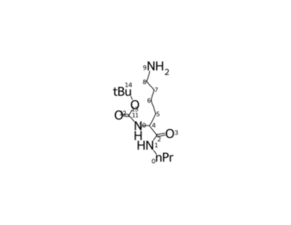 CCCNC(=O)C(CCCCN)NC(=O)OC(C)(C)C